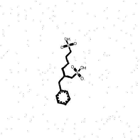 O=S(=O)(O)CCCCC(Cc1ccccc1)CS(=O)(=O)O